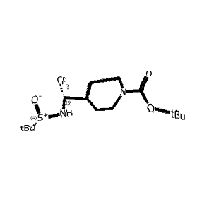 CC(C)(C)OC(=O)N1CCC([C@H](N[S@@+]([O-])C(C)(C)C)C(F)(F)F)CC1